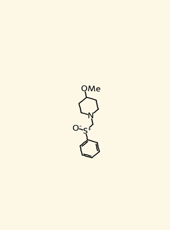 COC1CCN(C[S+]([O-])c2ccccc2)CC1